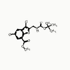 COC(=O)c1cc(Cl)cc2c(Cl)c(CNC(=O)OC(C)(C)C)oc12